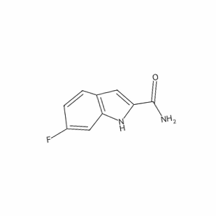 NC(=O)c1cc2ccc(F)cc2[nH]1